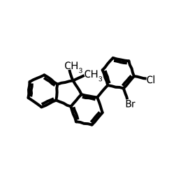 CC1(C)c2ccccc2-c2cccc(-c3cccc(Cl)c3Br)c21